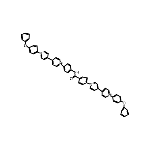 O=C(Nc1ccc(-[n+]2ccc(-c3cc[n+](-c4ccc(Oc5ccccc5)cc4)cc3)cc2)cc1)c1ccc(-[n+]2ccc(-c3cc[n+](-c4ccc(Oc5ccccc5)cc4)cc3)cc2)cc1